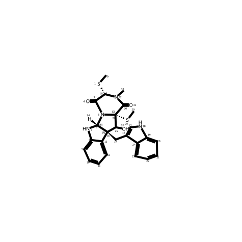 CS[C@H]1C(=O)N2[C@H]3Nc4ccccc4[C@@]3(Cc3c[nH]c4ccccc34)C(O)[C@]2(SC)C(=O)N1C